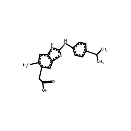 Cc1cc2[nH]c(Nc3ccc(C(C)C)cc3)nc2cc1CC(=O)O